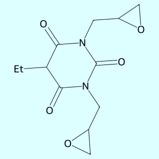 CCC1C(=O)N(CC2CO2)C(=O)N(CC2CO2)C1=O